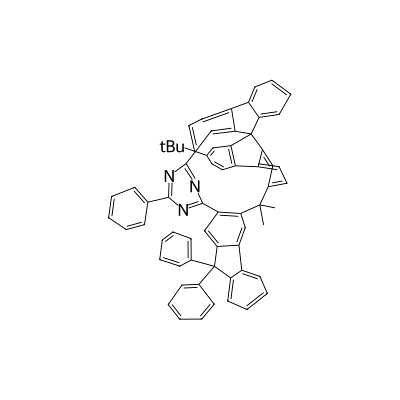 CC(C)(C)c1ccc2c(c1)C13c4ccccc4-c4ccc(cc41)-c1nc(-c4ccccc4)nc(n1)-c1cc4c(cc1C(C)(C)c1ccc-2c3c1)-c1ccccc1C4(c1ccccc1)c1ccccc1